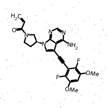 C=CC(=O)N1CC[C@H](n2cc(C#Cc3c(F)c(OC)cc(OC)c3F)c3c(N)ncnc32)C1